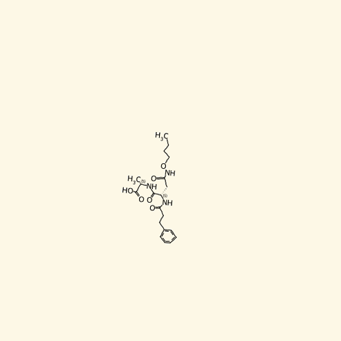 CCCCONC(=O)C[C@H](NC(=O)CCc1ccccc1)C(=O)N[C@@H](C)C(=O)O